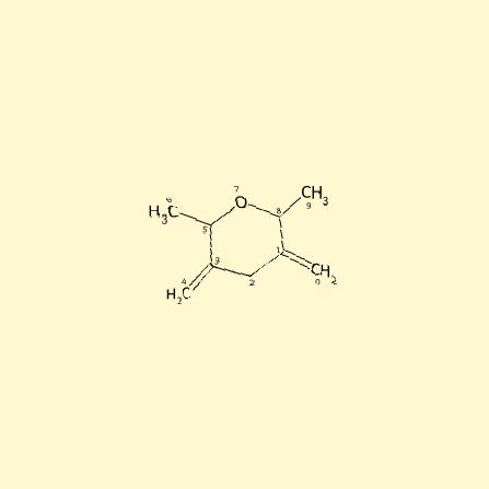 C=C1CC(=C)C(C)OC1C